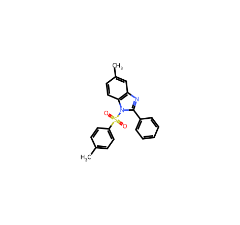 Cc1ccc(S(=O)(=O)n2c(-c3ccccc3)nc3cc(C)ccc32)cc1